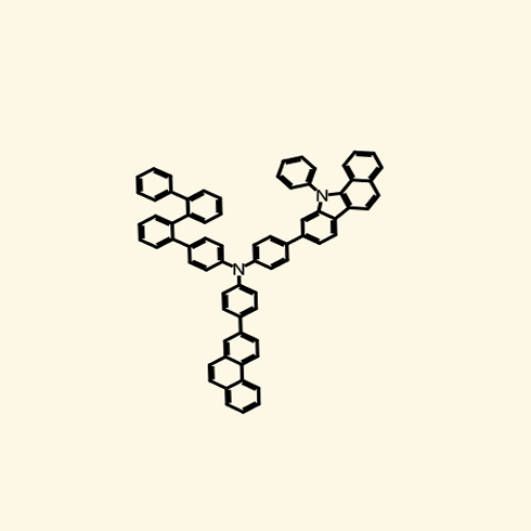 c1ccc(-c2ccccc2-c2ccccc2-c2ccc(N(c3ccc(-c4ccc5c(ccc6ccccc65)c4)cc3)c3ccc(-c4ccc5c6ccc7ccccc7c6n(-c6ccccc6)c5c4)cc3)cc2)cc1